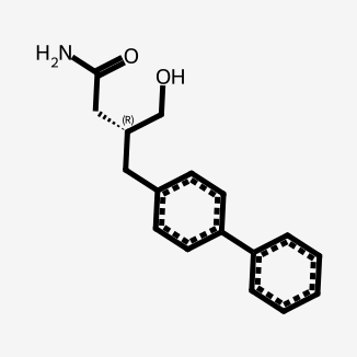 NC(=O)C[C@H](CO)Cc1ccc(-c2ccccc2)cc1